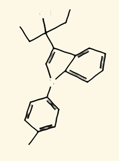 [CH2]CC(O)(CC)c1cn(-c2ccc(C)cc2)c2ccccc12